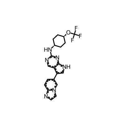 FC(F)(F)O[C@H]1CC[C@@H](Nc2ncc3c(-c4ccc5nccn5c4)c[nH]c3n2)CC1